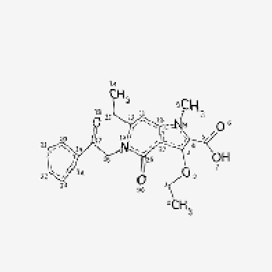 CCOc1c(C(=O)O)n(C)c2cc(CC)n(CC(=O)c3ccccc3)c(=O)c12